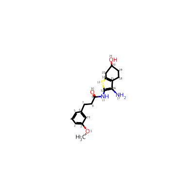 COc1cccc(CCC(=O)Nc2sc3c(c2N)CCC(O)C3)c1